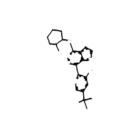 Oc1cc(C(F)(F)F)cnc1-c1nnc(NC2CCCCC2O)c2cc[nH]c12